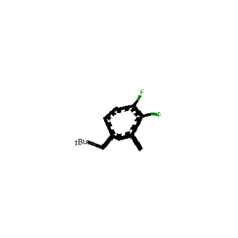 Cc1c(CC(C)(C)C)ccc(F)c1F